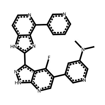 CN(C)c1cncc(-c2cnc3[nH]nc(-c4nc5c(-c6cccnc6)nccc5[nH]4)c3c2F)c1